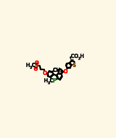 Cc1cc(OCCCS(C)(=O)=O)cc(C)c1-c1c(F)ccc2c1CCC2Oc1ccc2c(c1)SC[C@H]2CC(=O)O